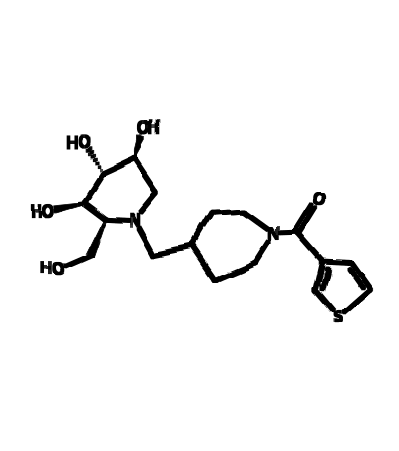 O=C(c1ccsc1)N1CCC(CN2C[C@H](O)[C@@H](O)[C@H](O)[C@@H]2CO)CC1